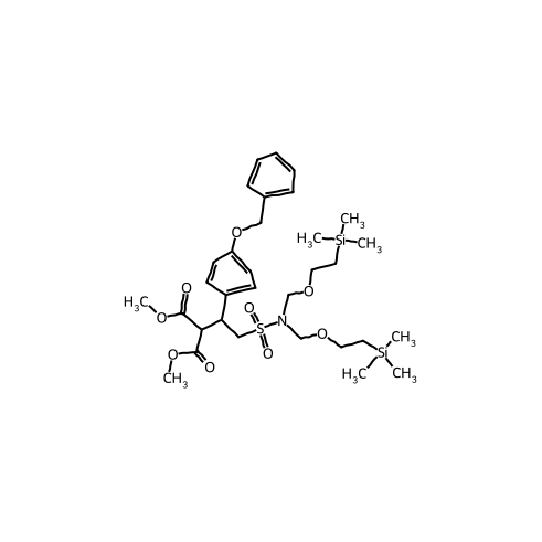 COC(=O)C(C(=O)OC)C(CS(=O)(=O)N(COCC[Si](C)(C)C)COCC[Si](C)(C)C)c1ccc(OCc2ccccc2)cc1